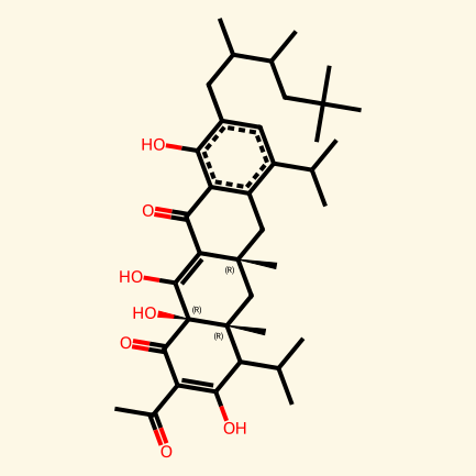 CC(=O)C1=C(O)C(C(C)C)[C@@]2(C)C[C@@]3(C)Cc4c(C(C)C)cc(CC(C)C(C)CC(C)(C)C)c(O)c4C(=O)C3=C(O)[C@@]2(O)C1=O